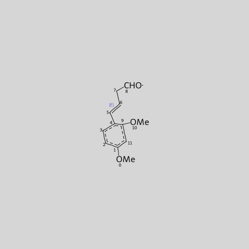 COc1ccc(/C=C/C[C]=O)c(OC)c1